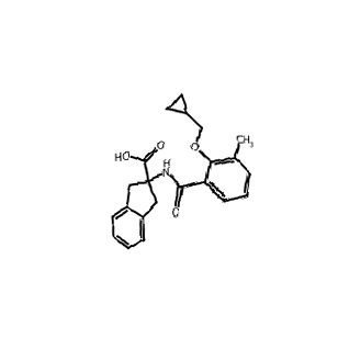 Cc1cccc(C(=O)NC2(C(=O)O)Cc3ccccc3C2)c1OCC1CC1